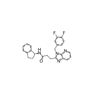 O=C(CCc1nc2cccnc2n1Cc1ccc(F)c(F)c1)N[C@H]1CCc2ccccc21